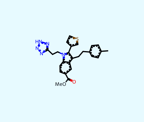 COC(=O)c1ccc2c(c1)c(CCc1ccc(C)cc1)c(-c1ccsc1)n2CCc1nn[nH]n1